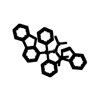 C[N](C)[Zr]([N](C)C)[Sn]([c]1ccccc1)([c]1ccccc1C1C=Cc2ccccc21)[c]1cccc2c1Cc1ccccc1-2